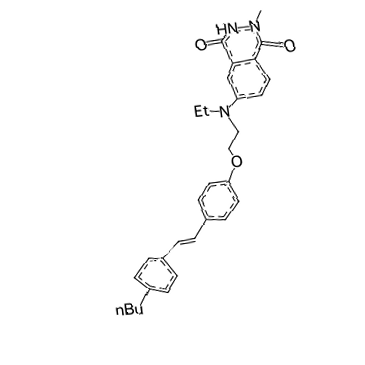 CCCCc1ccc(C=Cc2ccc(OCCN(CC)c3ccc4c(=O)n(C)[nH]c(=O)c4c3)cc2)cc1